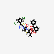 CC(C)C(O)C1=CS[C@H]2C(NC(=S)Cc3cc(Cl)ccc3Cl)C(=O)N2C1C(=O)OC(c1ccccc1)c1ccccc1